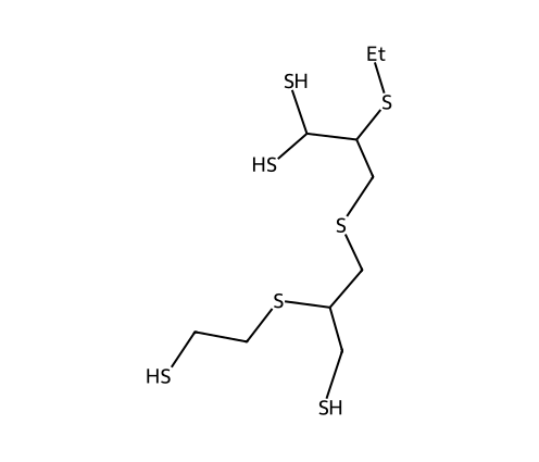 CCSC(CSCC(CS)SCCS)C(S)S